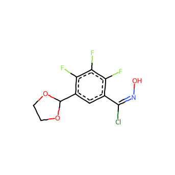 O/N=C(/Cl)c1cc(C2OCCO2)c(F)c(F)c1F